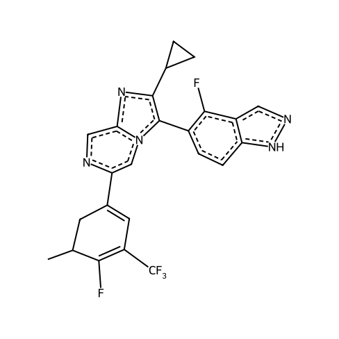 CC1CC(c2cn3c(-c4ccc5[nH]ncc5c4F)c(C4CC4)nc3cn2)=CC(C(F)(F)F)=C1F